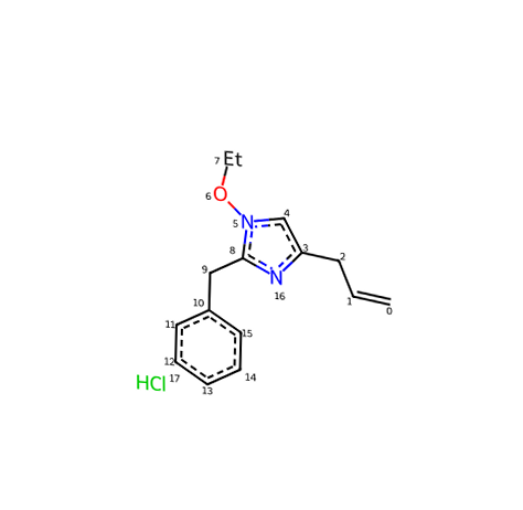 C=CCc1cn(OCC)c(Cc2ccccc2)n1.Cl